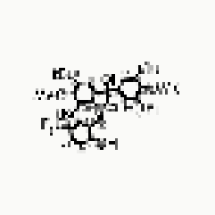 COc1c(C(C)(C)C)cc(C(O)(c2cc(C(C)(C)C)c(OC)c(C(C)(C)C)c2)C(C)N=Cc2cc(C(F)(F)F)ccc2O)cc1C(C)(C)C